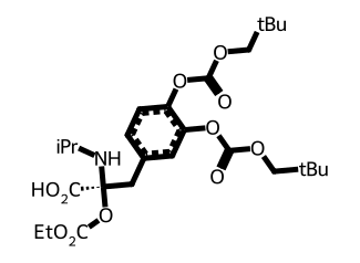 CCOC(=O)O[C@](Cc1ccc(OC(=O)OCC(C)(C)C)c(OC(=O)OCC(C)(C)C)c1)(NC(C)C)C(=O)O